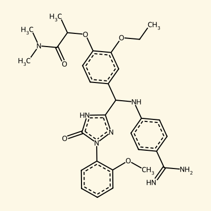 CCOc1cc(C(Nc2ccc(C(=N)N)cc2)c2nn(-c3ccccc3OC)c(=O)[nH]2)ccc1OC(C)C(=O)N(C)C